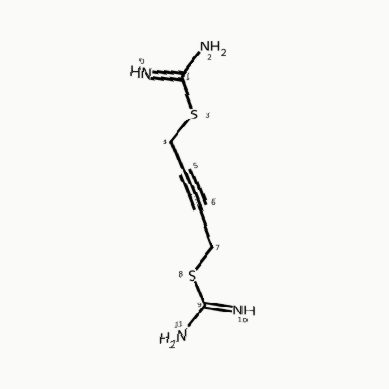 N=C(N)SCC#CCSC(=N)N